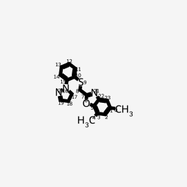 Cc1cc(C)c2oc(CSc3ccccc3N3CCC=N3)nc2c1